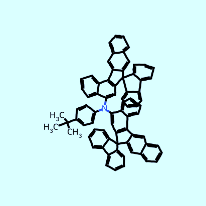 CC(C)(C)c1ccc(N(c2cc3c(c4ccccc24)-c2cc4ccccc4cc2C32c3ccccc3-c3ccccc32)c2cc3c(c4ccccc24)-c2cc4ccccc4cc2C32c3ccccc3-c3ccccc32)cc1